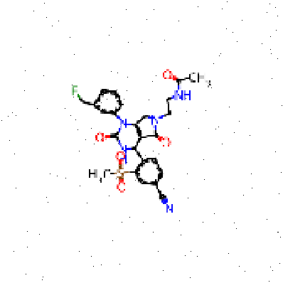 CC(=O)NCCN1CC2=C(C1=O)C(c1ccc(C#N)cc1S(C)(=O)=O)NC(=O)N2c1cccc(CF)c1